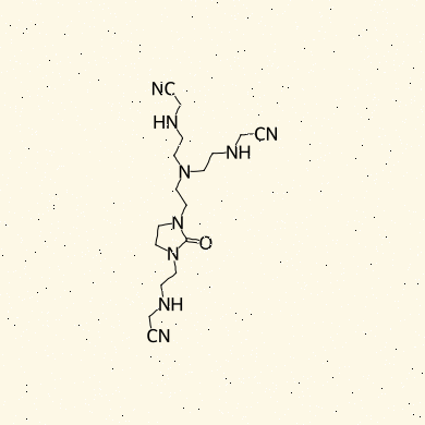 N#CCNCCN(CCNCC#N)CCN1CCN(CCNCC#N)C1=O